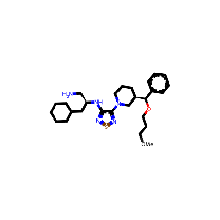 COCCCOC(c1ccccc1)[C@@H]1CCCN(c2nsnc2N[C@H](CN)CC2CCCCC2)C1